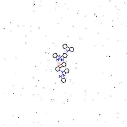 c1ccc2c(c1)nc1n(-c3cccc4c3oc3cccc(-n5c6ccccc6n6c7ccccc7nc56)c34)c3ccc(-n4c5ccccc5c5ccccc54)cc3n21